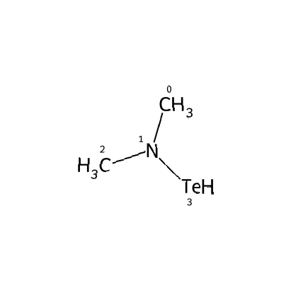 CN(C)[TeH]